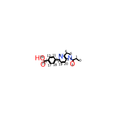 CCC(=O)N1CCc2nc(-c3ccc(C(=O)O)cc3)ccc21